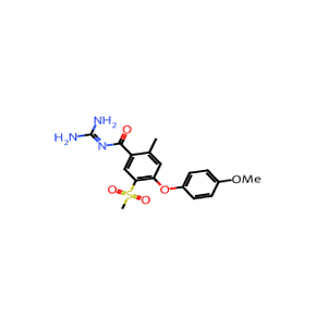 COc1ccc(Oc2cc(C)c(C(=O)N=C(N)N)cc2S(C)(=O)=O)cc1